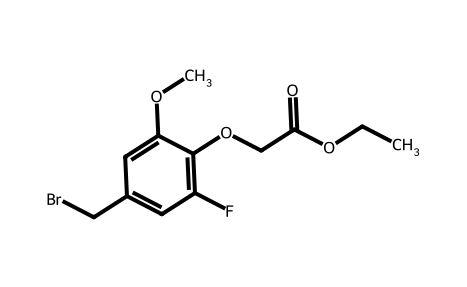 CCOC(=O)COc1c(F)cc(CBr)cc1OC